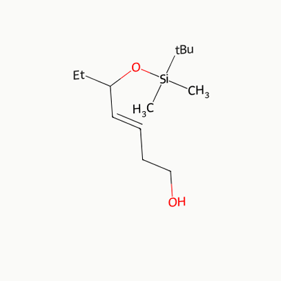 CCC(C=CCCO)O[Si](C)(C)C(C)(C)C